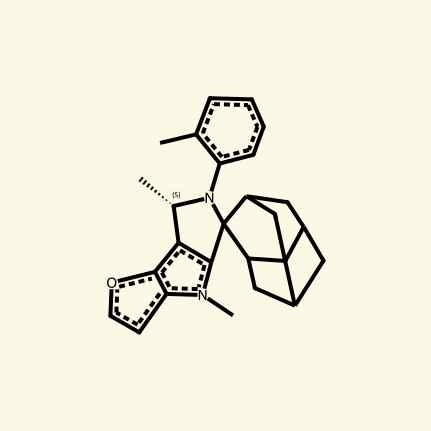 Cc1ccccc1N1[C@@H](C)c2c(n(C)c3ccoc23)C12C1CC3CC(C1)CC2C3